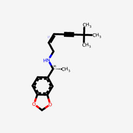 C[C@@H](NC/C=C\C#CC(C)(C)C)c1ccc2c(c1)OCO2